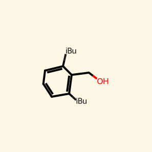 CCC(C)c1cccc(C(C)CC)c1CO